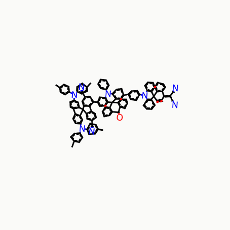 Cc1ccc(N(c2ccc(C)cc2)c2ccc3c(c2)C2(c4cc(N(c5ccc(C)cc5)c5ccc(C)cc5)ccc4-3)c3cc(C#N)ccc3-c3c(-c4ccc5c(c4)N(c4ccccc4)c4ccc(-c6ccc(N7c8ccccc8C8(c9ccccc9C(=C(C#N)C#N)c9ccccc98)c8ccccc87)cc6)cc4C54c5ccccc5C(=O)c5ccccc54)cc(C#N)cc32)cc1